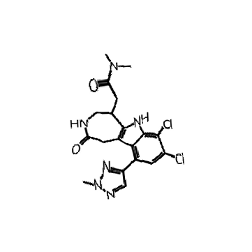 CN(C)C(=O)CC1CNC(=O)Cc2c1[nH]c1c(Cl)c(Cl)cc(-c3cnn(C)n3)c21